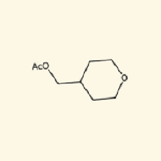 CC(=O)OCC1CCOCC1